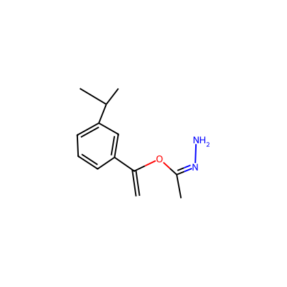 C=C(O/C(C)=N\N)c1cccc(C(C)C)c1